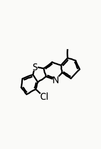 Cc1cccc2nc3c(cc12)sc1cccc(Cl)c13